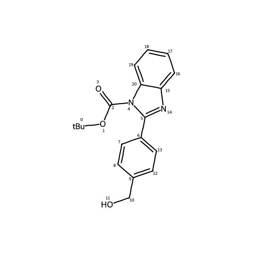 CC(C)(C)OC(=O)n1c(-c2ccc(CO)cc2)nc2ccccc21